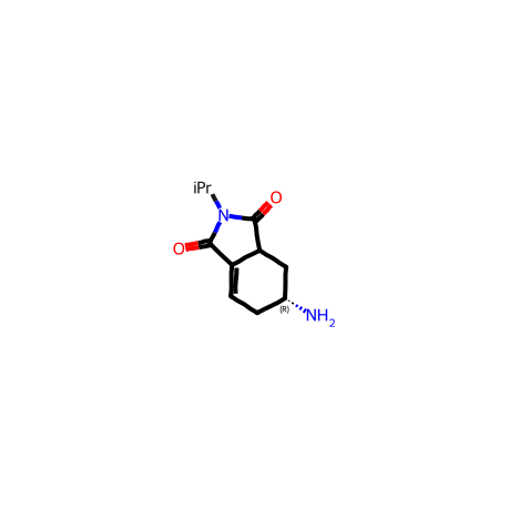 CC(C)N1C(=O)C2=CC[C@@H](N)CC2C1=O